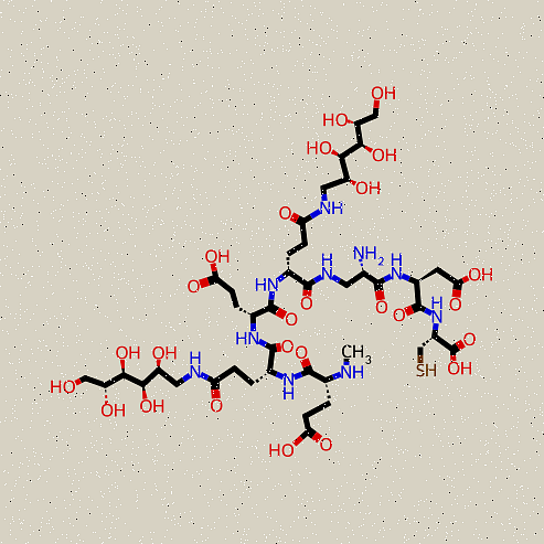 CN[C@H](CCC(=O)O)C(=O)N[C@H](CCC(=O)NC[C@H](O)[C@@H](O)[C@H](O)[C@H](O)CO)C(=O)N[C@H](CCC(=O)O)C(=O)N[C@H](CCC(=O)NC[C@H](O)[C@@H](O)[C@H](O)[C@H](O)CO)C(=O)NC[C@H](N)C(=O)N[C@@H](CC(=O)O)C(=O)N[C@@H](CS)C(=O)O